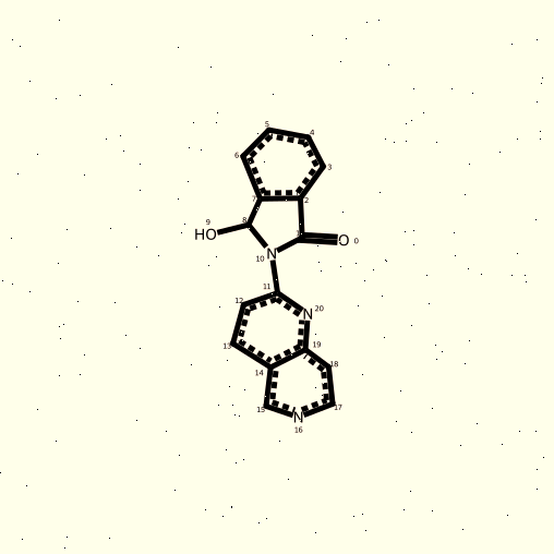 O=C1c2ccccc2C(O)N1c1ccc2cnccc2n1